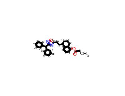 CCC(=O)Oc1cccc2c1CCCC2CCc1nc(C(c2ccccc2)c2ccccc2)no1